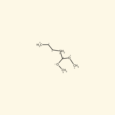 [CH2]C[CH][SiH2]C(OC)OC